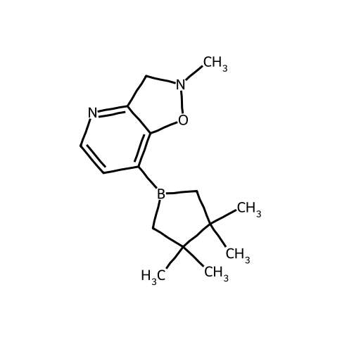 CN1Cc2nccc(B3CC(C)(C)C(C)(C)C3)c2O1